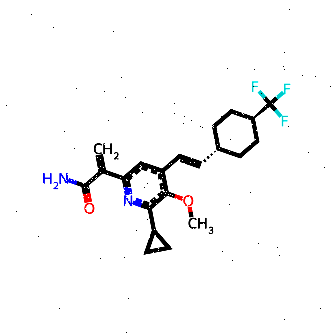 C=C(C(N)=O)c1cc(/C=C/[C@H]2CC[C@H](C(F)(F)F)CC2)c(OC)c(C2CC2)n1